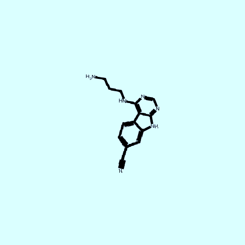 N#Cc1ccc2c(c1)[nH]c1ncnc(NCCCN)c12